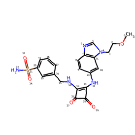 COCCn1cnc2ccc(Nc3c(NCc4cccc(S(N)(=O)=O)c4)c(=O)c3=O)cc21